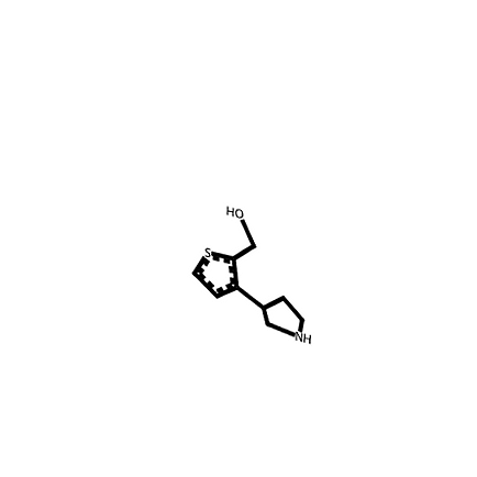 OCc1sccc1C1CCNC1